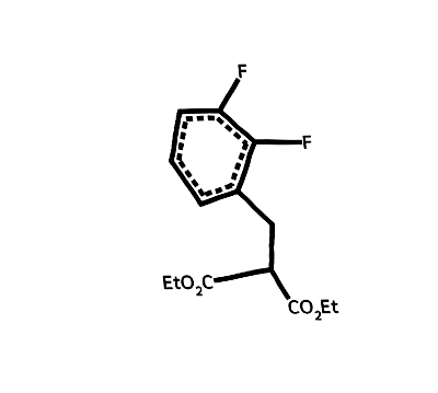 CCOC(=O)C(Cc1cccc(F)c1F)C(=O)OCC